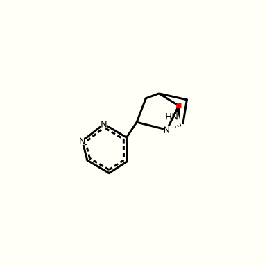 c1cnnc(C2CC3CC[N@@]2C32CCNC2)c1